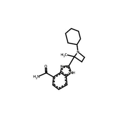 CC1(c2nc3c(C(N)=O)cccc3[nH]2)CCN1C1CCCCC1